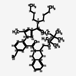 CCCCN(CCCC)C(=O)c1cc(C)n(-c2ccc(Br)cc2C(=O)N2Cc3ccccc3CC2CO[Si](C)(C)C(C)(C)C)n1